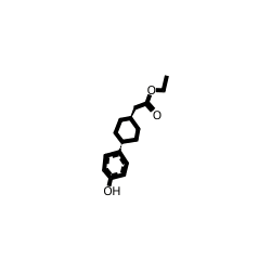 CCOC(=O)C[C@H]1CC[C@H](c2ccc(O)cc2)CC1